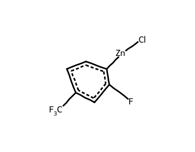 Fc1cc(C(F)(F)F)cc[c]1[Zn][Cl]